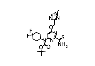 Cn1cnc(COc2cc(N(C(=O)OC(C)(C)C)C3CCC(F)(F)CC3)nc(C(N)=S)n2)n1